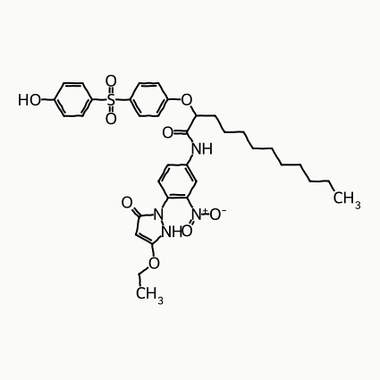 CCCCCCCCCCC(Oc1ccc(S(=O)(=O)c2ccc(O)cc2)cc1)C(=O)Nc1ccc(-n2[nH]c(OCC)cc2=O)c([N+](=O)[O-])c1